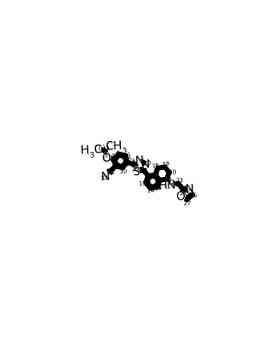 CC(C)Oc1ccc(-c2nnc(-c3cccc4c3CCC[C@@H]4NCc3ncco3)s2)cc1C#N